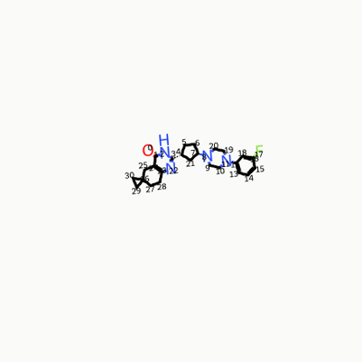 O=c1[nH]c([C@@H]2CC[C@@H](N3CCN(c4cccc(F)c4)CC3)C2)nc2c1CC1(CC2)CC1